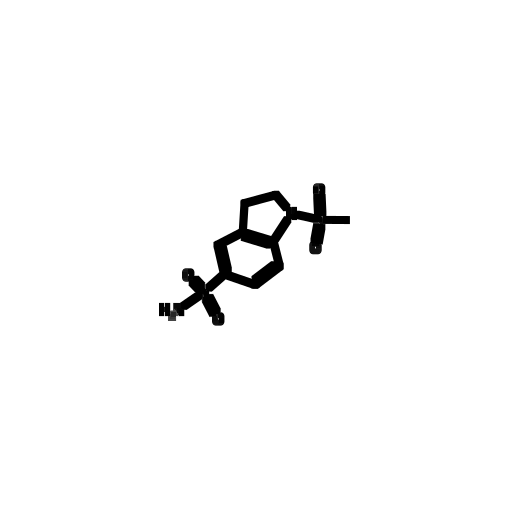 CS(=O)(=O)N1CCc2cc(S(N)(=O)=O)ccc21